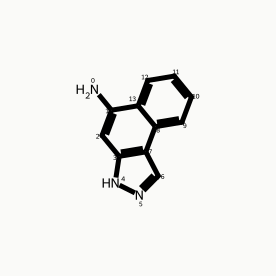 Nc1cc2[nH]n[c]c2c2ccccc12